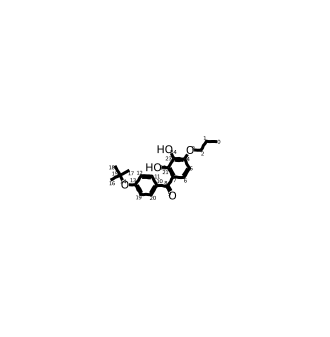 CCCOc1ccc(C(=O)c2ccc(OC(C)(C)C)cc2)c(O)c1O